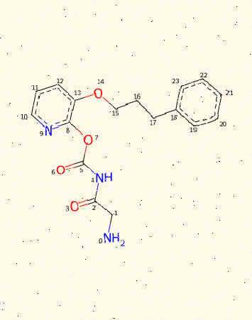 NCC(=O)NC(=O)Oc1ncccc1OCCCc1ccccc1